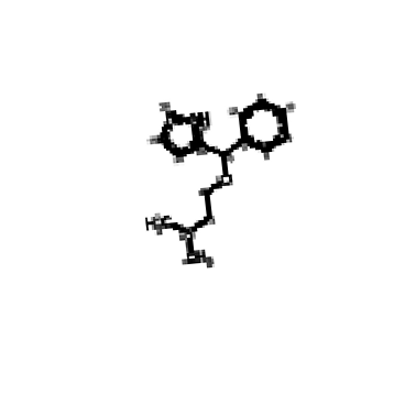 CN(C)CCOC(c1ccccc1)c1ccn[nH]1